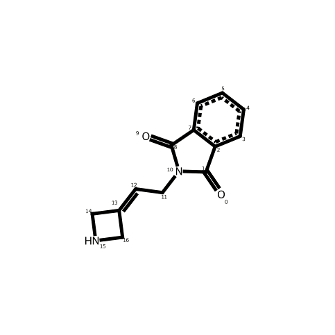 O=C1c2ccccc2C(=O)N1CC=C1CNC1